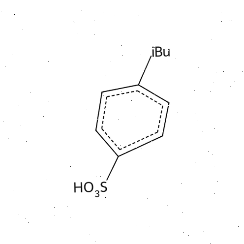 CCC(C)c1ccc(S(=O)(=O)O)cc1